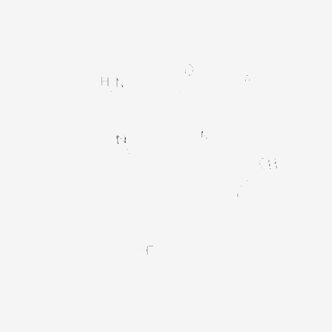 CC(=O)CN1C(=O)[C@@H](N)N=C(c2ccccc2F)c2cccc(C)c21